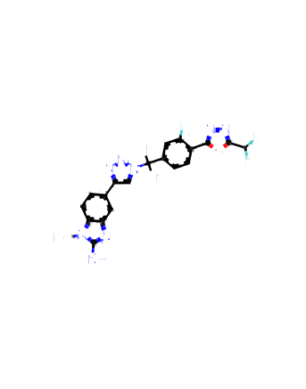 [2H]C([2H])(c1ccc(-c2nnc(C(F)F)o2)c(F)c1)n1cc(-c2ccc3c(c2)nc(N)n3C)nn1